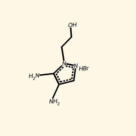 Br.Nc1cnn(CCO)c1N